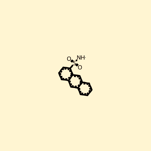 [NH]S(=O)(=O)c1cccc2cc3ccccc3cc12